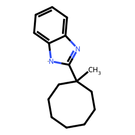 CC1(C2=Nc3ccccc3[N]2)CCCCCCC1